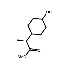 COC(=O)[C@@H](C)C1CCC(O)CC1